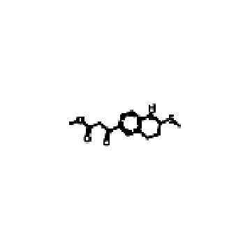 COC(=O)CC(=O)c1ccc2c(c1)CCC(SC)[SH]2C